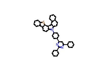 c1ccc(-c2cc(-c3ccc(-n4c5ccc6ccccc6c5c5c6sc7ccccc7c6ccc54)cc3)nc(-c3ccccc3)n2)cc1